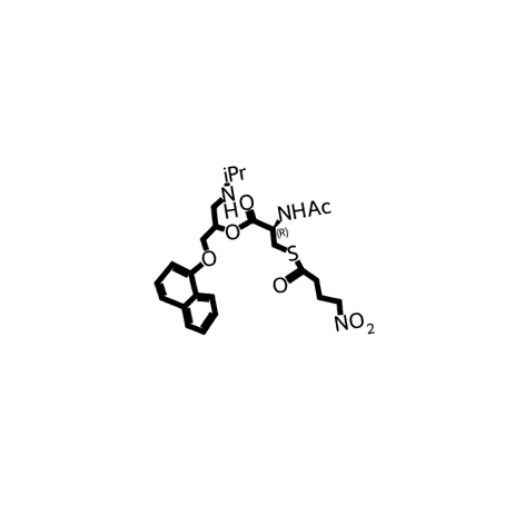 CC(=O)N[C@@H](CSC(=O)CCC[N+](=O)[O-])C(=O)OC(CNC(C)C)COc1cccc2ccccc12